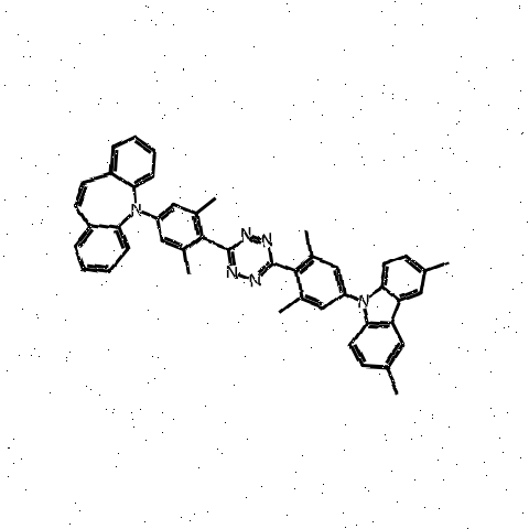 Cc1ccc2c(c1)c1cc(C)ccc1n2-c1cc(C)c(-c2nnc(-c3c(C)cc(N4c5ccccc5C=Cc5ccccc54)cc3C)nn2)c(C)c1